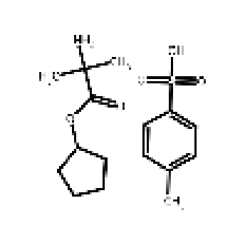 CC(C)(N)C(=O)OC1CCCC1.Cc1ccc(S(=O)(=O)O)cc1